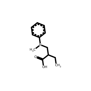 CCC(CN(C)c1ccccc1)C(=O)O